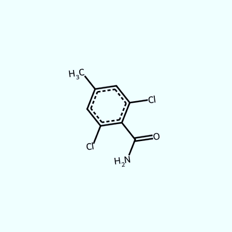 Cc1cc(Cl)c(C(N)=O)c(Cl)c1